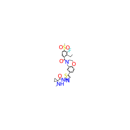 CCc1c(C(=O)N2CCOc3ccc(-c4cnc(NC(=O)C5(NC)CC5)s4)cc3C2)ccc(S(C)(=O)=O)c1F